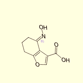 O=C(O)c1coc2c1/C(=N/O)CCC2